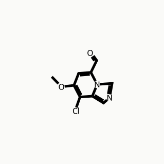 COc1cc(C=O)n2cncc2c1Cl